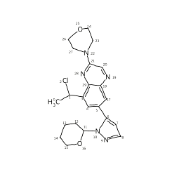 CC(Cl)c1cc(-c2ccnn2C2CCCCO2)cc2ncc(N3CCOCC3)nc12